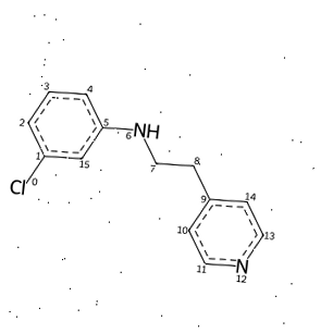 Clc1cccc(NCCc2ccncc2)c1